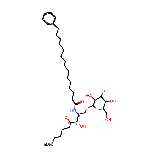 CCCCCCCCCCCCCC[C@@H](O)[C@@H](O)[C@H](COC1OC(CO)C(O)C(O)C1O)NC(=O)CCCCCCCCCCCCCCc1ccccc1